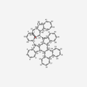 c1ccc(-n2c3ccccc3c3c4c5ccccc5c5ccccc5c4c4c5ccccc5n(-c5cccc6oc7ccccc7c56)c4c32)cc1